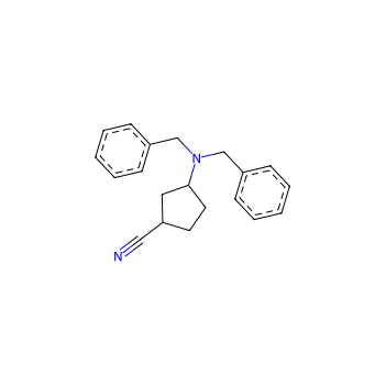 N#CC1CCC(N(Cc2ccccc2)Cc2ccccc2)C1